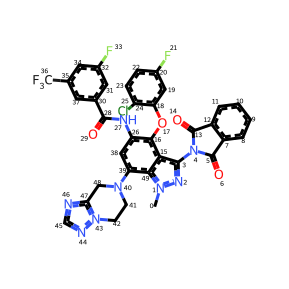 Cn1nc(N2C(=O)c3ccccc3C2=O)c2c(Oc3cc(F)ccc3Cl)c(NC(=O)c3cc(F)cc(C(F)(F)F)c3)cc(N3CCn4ncnc4C3)c21